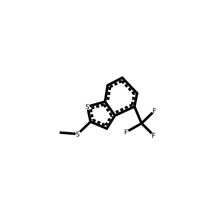 CSc1cc2c(C(F)(F)F)cccc2s1